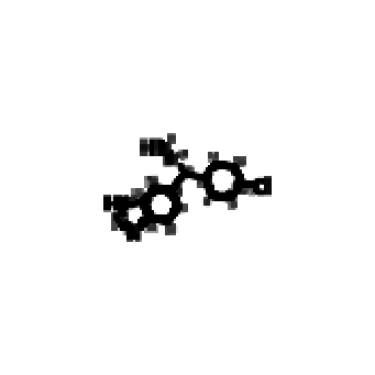 Br.Clc1ccc(C(Br)c2ccc3nn[nH]c3c2)cc1